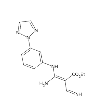 CCOC(=O)/C(C=N)=C(/N)Nc1cccc(-n2nccn2)c1